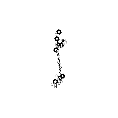 Nc1ncnc2c1c(-c1ccc(Oc3ccccc3)cc1)nn2[C@@H]1CCCN(CCOCCOCCOCCSc2cccc3c2C(=O)N(C2CCC(=O)NC2=O)C3=O)C1